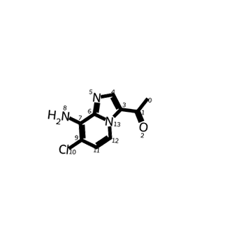 CC(=O)c1cnc2c(N)c(Cl)ccn12